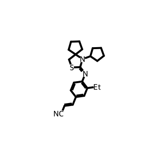 CCc1cc(C=CC#N)ccc1N=C1SCC2(CCCC2)N1C1CCCC1